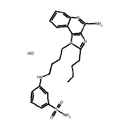 CCCCc1nc2c(N)nc3ccccc3c2n1CCCCNc1cccc(S(N)(=O)=O)c1.Cl